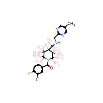 BC(B)(NCc1ncc(C)cn1)C1(F)C(B)(B)C(B)(B)N(C(=O)c2ccc(F)c(Cl)c2)C(B)(B)C1(B)B